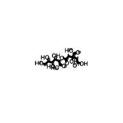 O=C(O)CC(O)(CC(=O)O[C@@H](C(=O)O)[C@@H](O)[C@H](O)[C@H](O)CO)C(=O)O